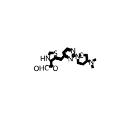 CN(C)C1CCN(c2nccc(/C=C3\SCNC3C(=O)C=O)n2)CC1